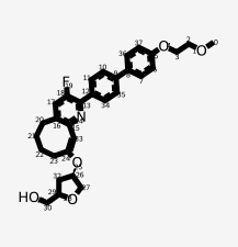 COCCOc1ccc(-c2ccc(-c3nc4c(cc3F)CCCC/C(O[C@@H]3COC(CO)C3)=C\4)cc2)cc1